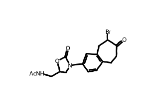 CC(=O)NCC1CN(c2ccc3c(c2)CC(Br)C(=O)CC3)C(=O)O1